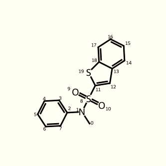 CN(c1ccccc1)S(=O)(=O)c1cc2ccccc2s1